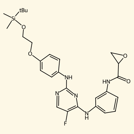 CC(C)(C)[Si](C)(C)OCCOc1ccc(Nc2ncc(F)c(Nc3cccc(NC(=O)C4CO4)c3)n2)cc1